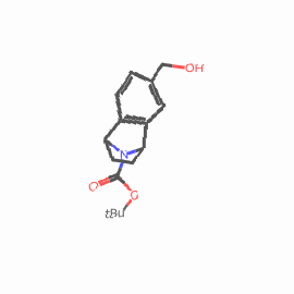 CC(C)(C)OC(=O)N1C2CCC1c1cc(CO)ccc12